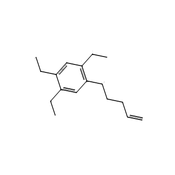 C=CCCCc1cc(CC)c(CC)cc1CC